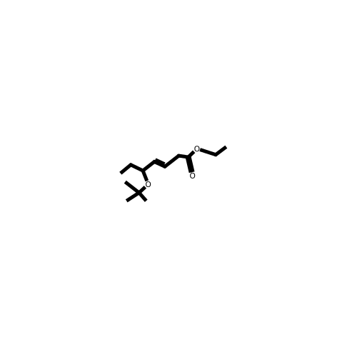 CCOC(=O)CC=CC(CC)OC(C)(C)C